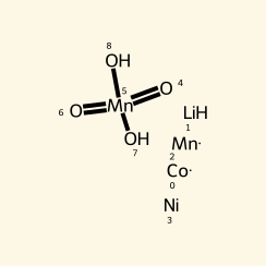 [Co].[LiH].[Mn].[Ni].[O]=[Mn](=[O])([OH])[OH]